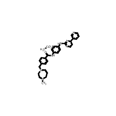 CC(=O)O.CN1CCCN(Cc2ccc(C(=O)Nc3ccc(Nc4nccc(-c5cccnc5)n4)cc3)cc2)CC1